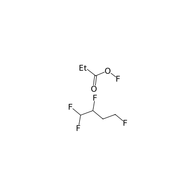 CCC(=O)OF.FCCC(F)C(F)F